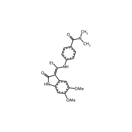 CCC(Nc1ccc(C(=O)N(C)C)cc1)=C1C(=O)Nc2cc(OC)c(OC)cc21